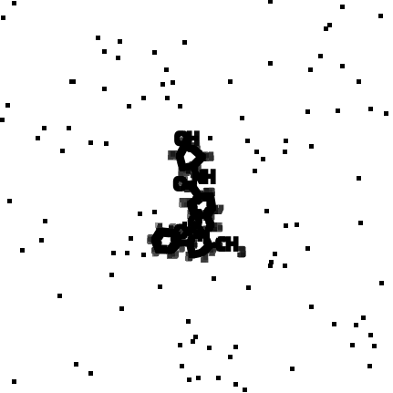 C[C@H]1CCC(c2ccccc2)S(=O)(=O)N1Cc1ccc(C(=O)NC2CCC(O)CC2)cc1